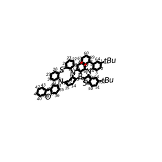 CC(C)(C)c1ccc(N2c3cccc4c3B(c3ccc5cc3N4c3ccccc3Sc3ccccc3N5c3ccc4oc5ccccc5c4c3)c3sc4ccc(C(C)(C)C)cc4c32)c(-c2ccccc2)c1